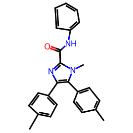 Cc1ccc(-c2nc(C(=O)Nc3ccccc3)n(C)c2-c2ccc(C)cc2)cc1